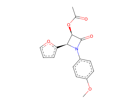 COc1ccc(N2C(=O)[C@H](OC(C)=O)[C@@H]2c2ccco2)cc1